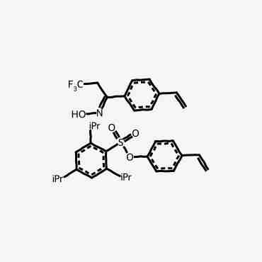 C=Cc1ccc(C(CC(F)(F)F)=NO)cc1.C=Cc1ccc(OS(=O)(=O)c2c(C(C)C)cc(C(C)C)cc2C(C)C)cc1